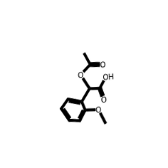 COc1ccccc1C(OC(C)=O)C(=O)O